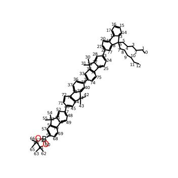 CCCCCCC1(CCCCCC)c2ccccc2-c2ccc(-c3ccc4c(c3)C(C)(C)c3cc(-c5ccc6c(c5)C(C)(C)c5cc(-c7ccc8c(c7)C(C)(C)c7cc(B9OC(C)(C)C(C)(C)O9)ccc7-8)ccc5-6)ccc3-4)cc21